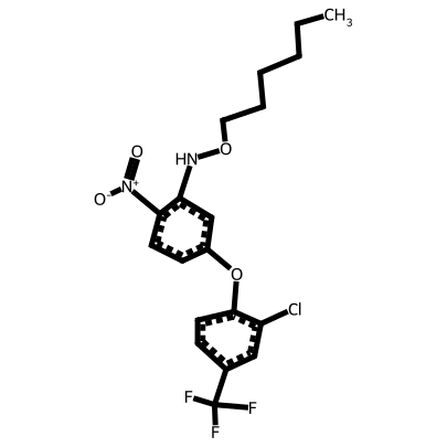 CCCCCCONc1cc(Oc2ccc(C(F)(F)F)cc2Cl)ccc1[N+](=O)[O-]